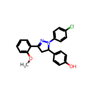 COc1ccccc1C1=NN(c2ccc(Cl)cc2)C(c2ccc(O)cc2)C1